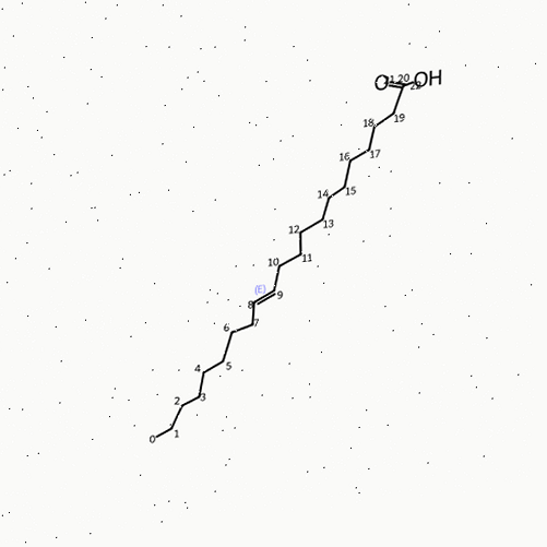 CCCCCCCC/C=C/CCCCCCCCCCC(=O)O